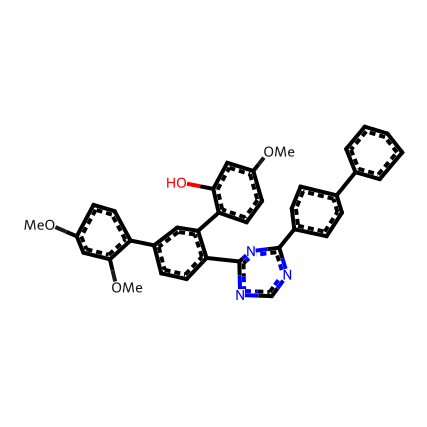 COc1ccc(-c2cc(-c3ccc(OC)cc3OC)ccc2-c2ncnc(-c3ccc(-c4ccccc4)cc3)n2)c(O)c1